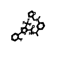 CC(NC(=O)c1sc(-c2ccccc2F)nc1C(F)(F)F)c1cccc(N(C)Cc2ccco2)c1